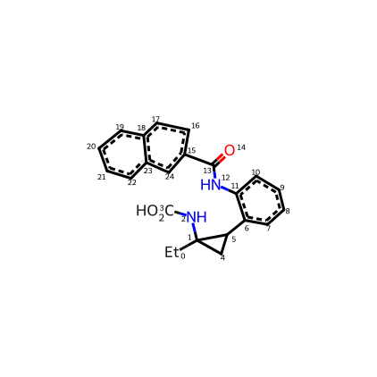 CCC1(NC(=O)O)CC1c1ccccc1NC(=O)c1ccc2ccccc2c1